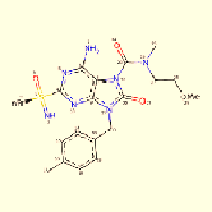 CCC[S@@](=N)(=O)c1nc(N)c2c(n1)n(Cc1ccc(C)cc1)c(=O)n2C(=O)N(C)CCOC